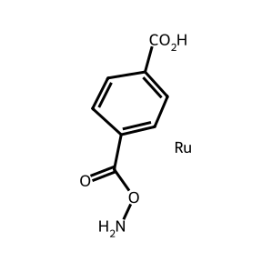 NOC(=O)c1ccc(C(=O)O)cc1.[Ru]